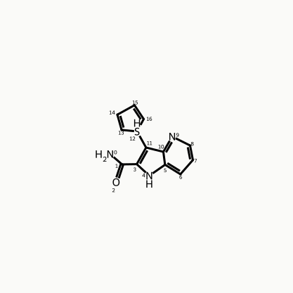 NC(=O)c1[nH]c2cccnc2c1[SH]1C=CC=C1